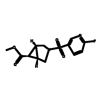 COC(=O)[C@H]1[C@@H]2CN(S(=O)(=O)c3ccc(F)nc3)C[C@@H]21